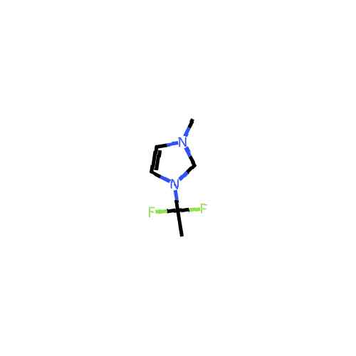 CN1C=CN(C(C)(F)F)C1